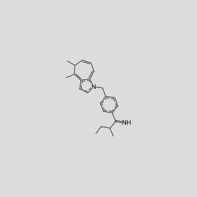 CCC(C)C(=N)c1ccc(Cn2ccc3c2=CC=CC(C)C=3C)cc1